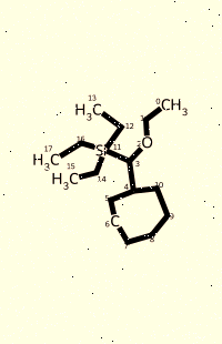 CCOC(C1[CH]CCCCC1)[Si](CC)(CC)CC